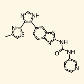 Cc1csc(-c2nc[nH]c2-c2ccc3nc(NC(=O)Nc4cccnc4)sc3c2)n1